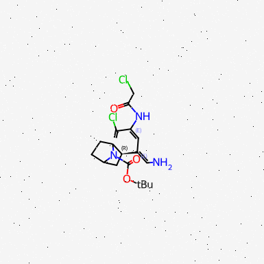 C=C(Cl)/C(=C\C(=C/N)[C@H]1CC2CCC1N2C(=O)OC(C)(C)C)NC(=O)CCl